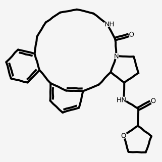 O=C(NC1CCN2C(=O)NCCCCCc3ccccc3-c3cccc(c3)CC12)C1CCCO1